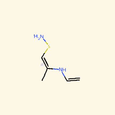 C=CN/C(C)=C\SN